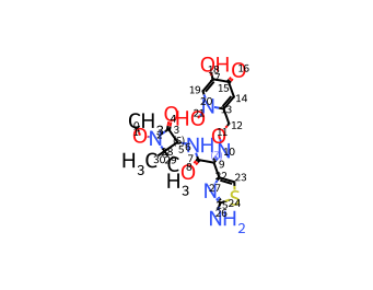 CON1C(=O)[C@@H](NC(=O)/C(=N\OCc2cc(=O)c(O)cn2O)c2csc(N)n2)C1(C)C